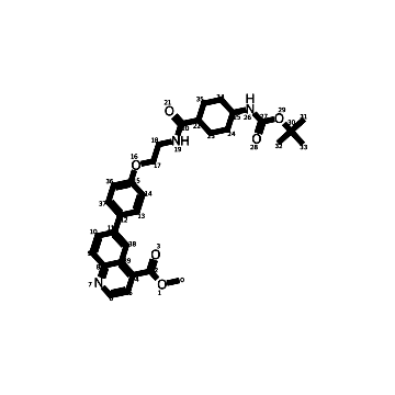 COC(=O)c1ccnc2ccc(-c3ccc(OCCNC(=O)C4CCC(NC(=O)OC(C)(C)C)CC4)cc3)cc12